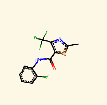 Cc1nc(C(F)(F)F)c(C(=O)Nc2ccccc2F)s1